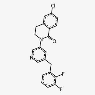 O=C1c2ccc(Cl)cc2CCN1c1cncc(Cc2cccc(F)c2F)c1